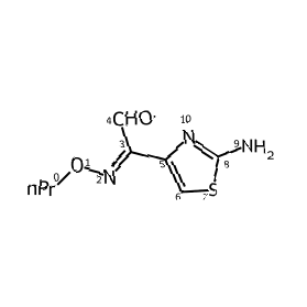 CCCON=C([C]=O)c1csc(N)n1